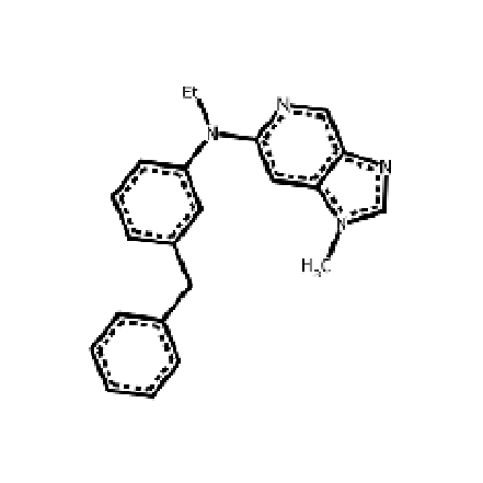 CCN(c1cccc(Cc2ccccc2)c1)c1cc2c(cn1)ncn2C